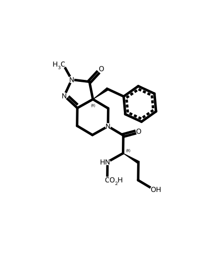 CN1N=C2CCN(C(=O)[C@@H](CCO)NC(=O)O)C[C@@]2(Cc2ccccc2)C1=O